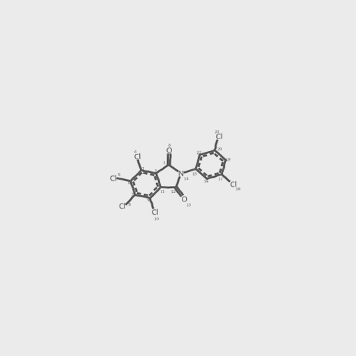 O=C1c2c(Cl)c(Cl)c(Cl)c(Cl)c2C(=O)N1c1cc(Cl)cc(Cl)c1